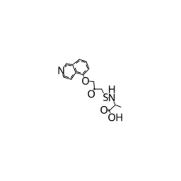 CC(NSCC(=O)COc1cccc2cnccc12)C(=O)O